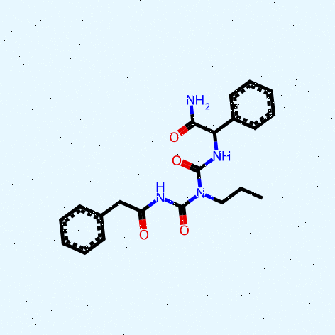 CCCN(C(=O)NC(=O)Cc1ccccc1)C(=O)NC(C(N)=O)c1ccccc1